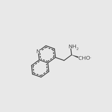 N[C@@H]([C]=O)Cc1ccnc2ccccc12